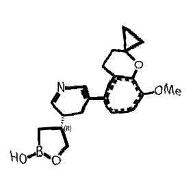 COc1ccc(C2=CN=CC([C@@H]3COB(O)C3)C2)c2c1OC1(CC2)CC1